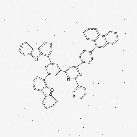 c1ccc(-c2nc(-c3ccc(-c4cc5ccccc5c5ccccc45)cc3)cc(-c3cc(-c4cccc5c4oc4ccccc45)cc(-c4cccc5c4oc4ccccc45)c3)n2)cc1